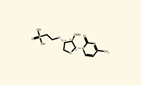 CO[C@@H]1[C@@H](OCCP(=O)(O)O)CO[C@H]1n1ccc(C)nc1=O